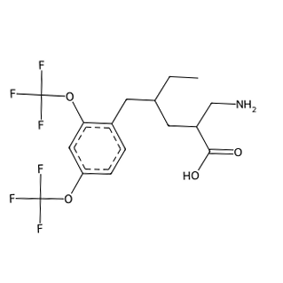 CCC(Cc1ccc(OC(F)(F)F)cc1OC(F)(F)F)CC(CN)C(=O)O